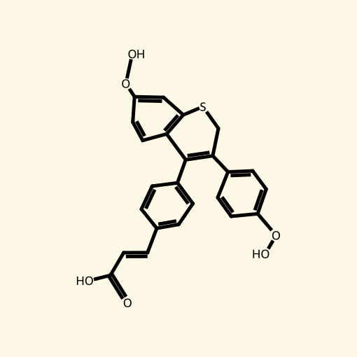 O=C(O)C=Cc1ccc(C2=C(c3ccc(OO)cc3)CSc3cc(OO)ccc32)cc1